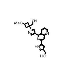 COC1CC(CC#N)(n2cc(-c3nc(-c4cc(CO)n[nH]4)cc4ncccc34)cn2)C1